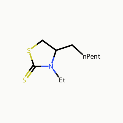 CCCCCCC1CSC(=S)N1CC